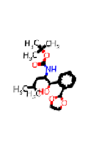 CC(C)CC(NC(=O)OC(C)(C)C)C(O)c1ccccc1C1OCCO1